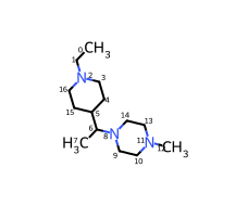 CCN1CCC(C(C)N2CCN(C)CC2)CC1